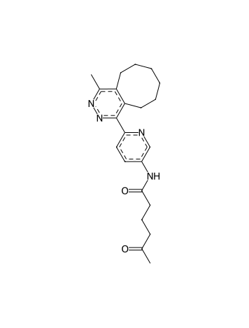 CC(=O)CCCC(=O)Nc1ccc(-c2nnc(C)c3c2CCCCCC3)nc1